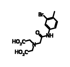 Cc1ccc(NC(=O)CN(CC(=O)O)CC(=O)O)cc1Br